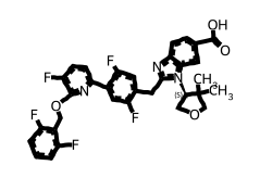 CC1(C)COC[C@H]1n1c(Cc2cc(F)c(-c3ccc(F)c(OCc4c(F)cccc4F)n3)cc2F)nc2ccc(C(=O)O)cc21